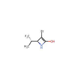 CCC1=C(O)N[C@H]1[C@H](C)C(F)(F)F